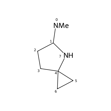 CNC1CCC2(CC2)N1